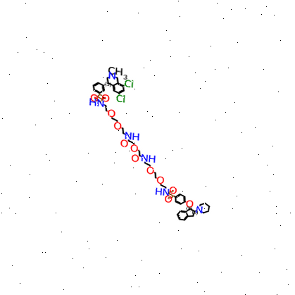 CN1Cc2c(Cl)cc(Cl)cc2[C@H](c2cccc(S(=O)(=O)NCCOCCOCCNC(=O)COCC(=O)NCCOCCOCCNS(=O)(=O)c3ccc(O[C@H]4c5ccccc5C[C@@H]4N4CCCCC4)cc3)c2)C1